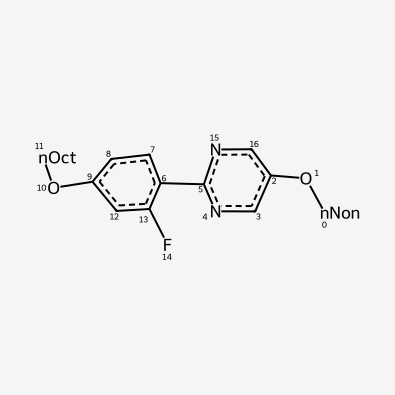 CCCCCCCCCOc1cnc(-c2ccc(OCCCCCCCC)cc2F)nc1